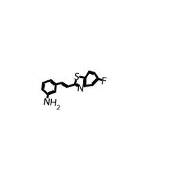 Nc1cccc(C=Cc2nc3cc(F)ccc3s2)c1